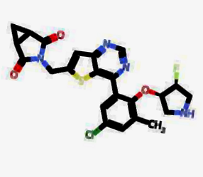 Cc1cc(Cl)cc(-c2ncnc3cc(CN4C(=O)C5CC5C4=O)sc23)c1O[C@@H]1CNC[C@@H]1F